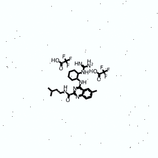 Cc1ccc2nc(C(=O)NCCC(C)C)nc(NC3CCCCC3NC(=N)N)c2c1.O=C(O)C(F)(F)F.O=C(O)C(F)(F)F